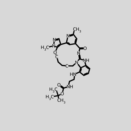 Cc1cc2cc(n1)-c1cnn(C)c1OCCCCCN1/C(=N/C2=O)Nc2cccc(NCCNC(=O)OC(C)(C)C)c21